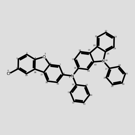 Clc1ccc2oc3cc(N(c4ccccc4)c4ccc5c6ccccc6n(-c6ccccc6)c5c4)ccc3c2c1